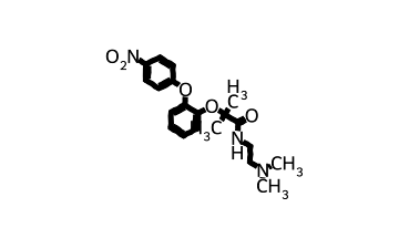 CN(C)CCNC(=O)C(C)(C)Oc1ccccc1Oc1ccc([N+](=O)[O-])cc1